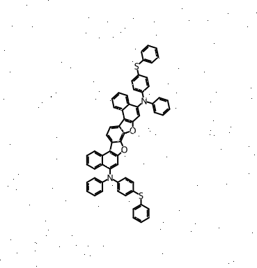 c1ccc(Sc2ccc(N(c3ccccc3)c3cc4oc5c(ccc6c5oc5cc(N(c7ccccc7)c7ccc(Sc8ccccc8)cc7)c7ccccc7c56)c4c4ccccc34)cc2)cc1